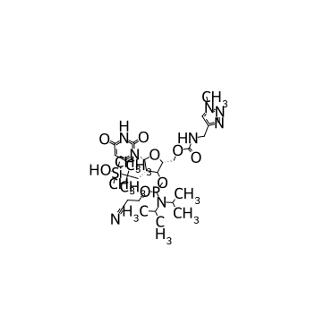 CC(C)N(C(C)C)P(OCCC#N)OC1[C@@H](COC(=O)NCc2cn(C)nn2)O[C@@H](n2ccc(=O)[nH]c2=O)[C@H]1CC(C)(C)[Si](C)(C)O